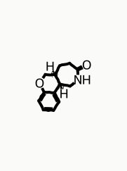 O=C1CC[C@@H]2COc3ccccc3[C@H]2CN1